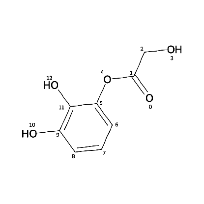 O=C(CO)Oc1cccc(O)c1O